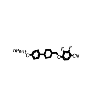 CCCCCOc1ccc(C2CCC(COc3ccc(C#N)c(F)c3F)CC2)cc1